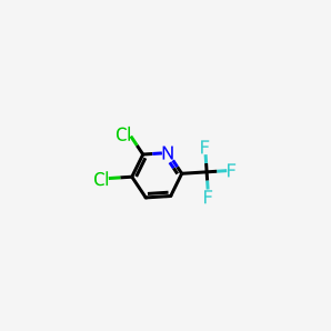 FC(F)(F)c1ccc(Cl)c(Cl)n1